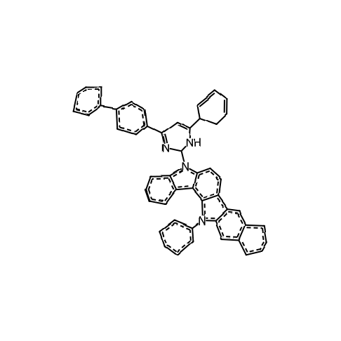 C1=CCC(C2=CC(c3ccc(-c4ccccc4)cc3)=NC(n3c4ccccc4c4c5c(ccc43)c3cc4ccccc4cc3n5-c3ccccc3)N2)C=C1